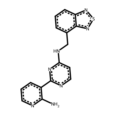 Nc1ncccc1-c1nccc(NCc2cccc3nsnc23)n1